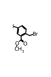 COC(=O)c1cc(I)ccc1CBr